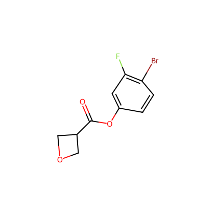 O=C(Oc1ccc(Br)c(F)c1)C1COC1